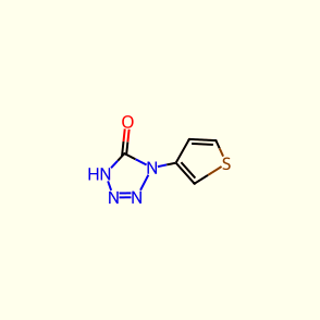 O=c1[nH]nnn1-c1ccsc1